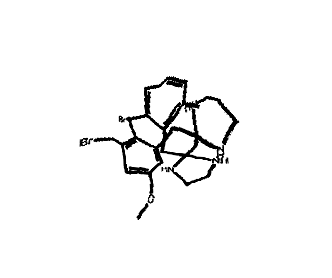 COc1cc(Br)c(C)c(CC2(C3(Cc4c(C)cccc4Br)NCCN3)NCCN2)c1